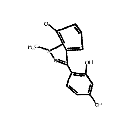 Cn1nc(-c2ccc(O)cc2O)c2cccc(Cl)c21